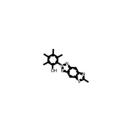 Cc1nc2cc3nn(-c4c(C)c(C)c(C)c(C)c4O)nc3cc2s1